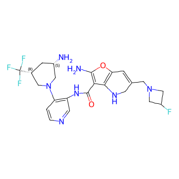 Nc1oc2c(c1C(=O)Nc1cnccc1N1C[C@@H](N)C[C@@H](C(F)(F)F)C1)NCC(CN1CC(F)C1)=C2